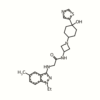 CCn1nc(NCC(=O)NC2CN(C3CCC(O)(c4cncs4)CC3)C2)c2cc(C)ccc21